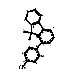 CC1(C)C2=C(C=CCC2)c2cccc(-c3ccc(Cl)cc3)c21